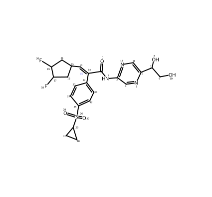 O=C(Nc1cnc(C(O)CO)cn1)/C(=C/C1CC(F)C(F)C1)c1ccc(S(=O)(=O)C2CC2)cc1